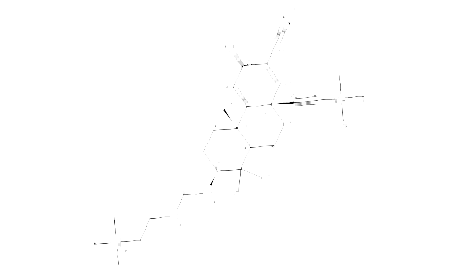 CC1(C)[C@@H](OCOCC[Si](C)(C)C)CC[C@]2(C)C3=CC(=O)C(C#N)=C[C@]3(C#C[Si](C)(C)C)CC[C@@H]12